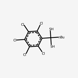 CCCCC(S)(S)c1c(Cl)c(Cl)c(Cl)c(Cl)c1Cl